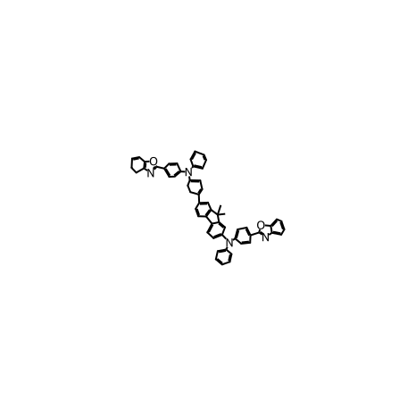 CC1(C)c2cc(C3=CC=C(N(c4ccccc4)c4ccc(-c5nc6c(o5)C=CCC6)cc4)CC3)ccc2-c2ccc(N(c3ccccc3)c3ccc(-c4nc5ccccc5o4)cc3)cc21